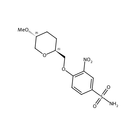 CO[C@@H]1CC[C@@H](COc2ccc(S(N)(=O)=O)cc2[N+](=O)[O-])OC1